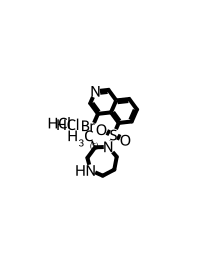 C[C@H]1CNCCCN1S(=O)(=O)c1cccc2cncc(Br)c12.Cl.Cl